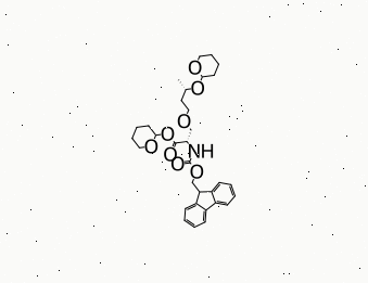 C[C@@H](CCOC[C@H](NC(=O)OCC1c2ccccc2-c2ccccc21)C(=O)OC1CCCCO1)OC1CCCCO1